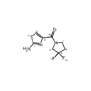 Nc1nc(C(=O)N2CCC(F)(F)C2)cs1